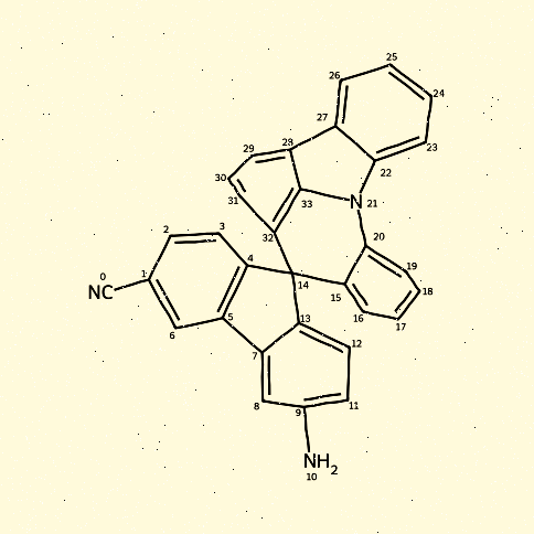 N#Cc1ccc2c(c1)-c1cc(N)ccc1C21c2ccccc2-n2c3ccccc3c3cccc1c32